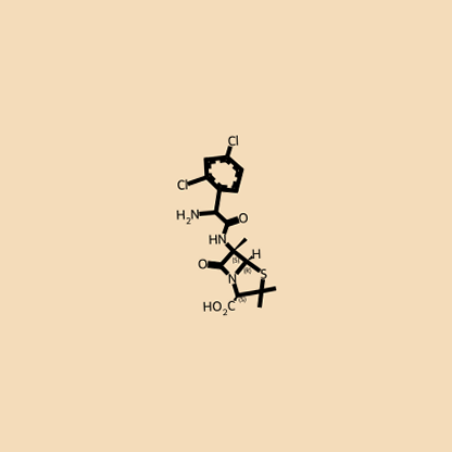 CC1(C)S[C@H]2N(C(=O)[C@]2(C)NC(=O)C(N)c2ccc(Cl)cc2Cl)[C@H]1C(=O)O